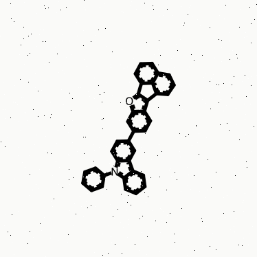 c1ccc(-n2c3ccccc3c3cc(-c4ccc5c6c(oc5c4)-c4cccc5cccc-6c45)ccc32)cc1